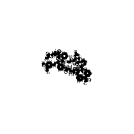 C=CC(=O)OCC(C)(C)C(=O)C(=O)N1CCCC[C@H]1C(=O)O[C@H](CCc1ccc(OC)c(OC)c1)c1cccc(NC(=O)CCC(=O)N[C@H](C(=O)N[C@@H](Cc2cccc(NC(C)=O)c2)C(=O)N2CCC[C@@H]2C(=O)N(C)[C@@H](CC(C)C)C(=O)N(C)CC)c2ccccc2)c1